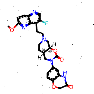 COc1ccc2ncc(F)c(CCN3CC[C@@H]4CN(c5ccc6c(c5)NC(=O)CO6)C(=O)O[C@H]4C3)c2n1